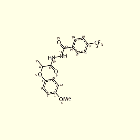 COc1ccc(OC(C)C(=O)NNC(=O)c2ccc(C(F)(F)F)cc2)cc1